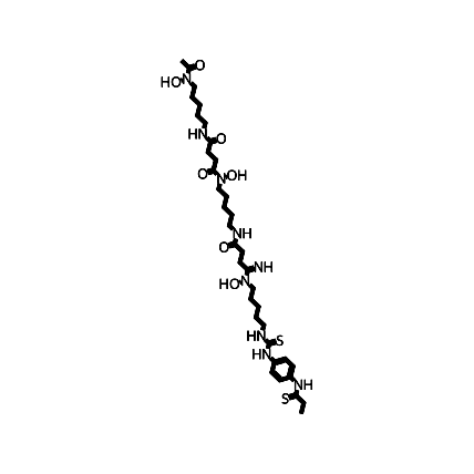 CCC(=S)Nc1ccc(NC(=S)NCCCCCN(O)C(=N)CCC(=O)NCCCCCN(O)C(=O)CCC(=O)NCCCCCN(O)C(C)=O)cc1